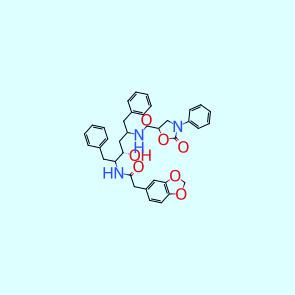 O=C(Cc1ccc2c(c1)OCO2)NC(Cc1ccccc1)[C@@H](O)CC(Cc1ccccc1)NC(=O)C1CN(c2ccccc2)C(=O)O1